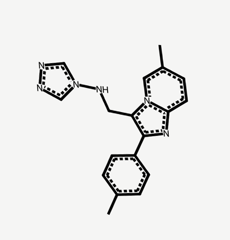 Cc1ccc(-c2nc3ccc(C)cn3c2CNn2cnnc2)cc1